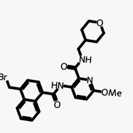 COc1ccc(NC(=O)c2ccc(CBr)c3ccccc23)c(C(=O)NCC2CCOCC2)n1